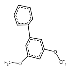 FC(F)(F)Oc1[c]c(OC(F)(F)F)cc(-c2ccccc2)c1